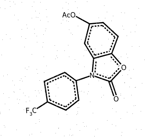 CC(=O)Oc1ccc2oc(=O)n(-c3ccc(C(F)(F)F)cc3)c2c1